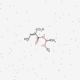 CC=C(C(=O)O)C(=O)OC(C)OCC